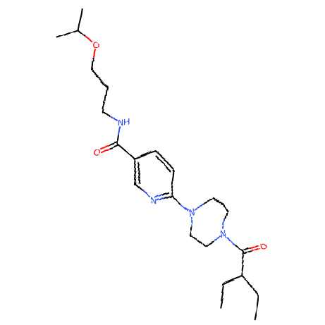 CCC(CC)C(=O)N1CCN(c2ccc(C(=O)NCCCOC(C)C)cn2)CC1